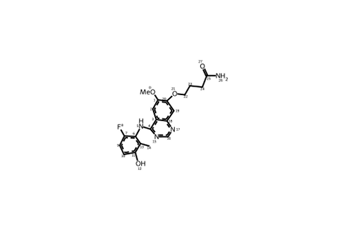 COc1cc2c(Nc3c(F)ccc(O)c3C)ncnc2cc1OCCCC(N)=O